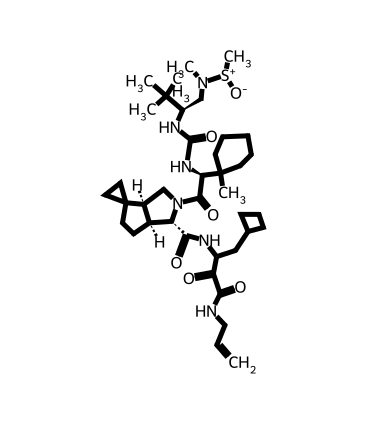 C=CCNC(=O)C(=O)C(CC1CCC1)NC(=O)[C@@H]1[C@H]2CCC3(CC3)[C@H]2CN1C(=O)[C@@H](NC(=O)N[C@H](CN(C)[S+](C)[O-])C(C)(C)C)C1(C)CCCCC1